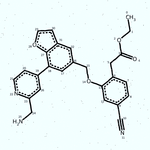 CCOC(=O)Cc1ccc(C#N)cc1OCc1cc(-c2ccnc(CN)c2)c2occc2c1